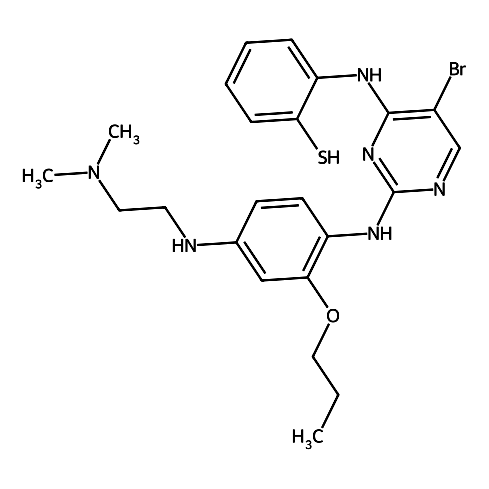 CCCOc1cc(NCCN(C)C)ccc1Nc1ncc(Br)c(Nc2ccccc2S)n1